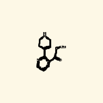 CC(C)(C)OC(=O)c1cccnc1C1=CCNCC1